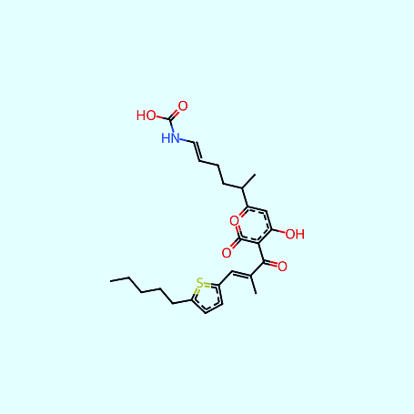 CCCCCc1ccc(C=C(C)C(=O)c2c(O)cc(C(C)CCC=CNC(=O)O)oc2=O)s1